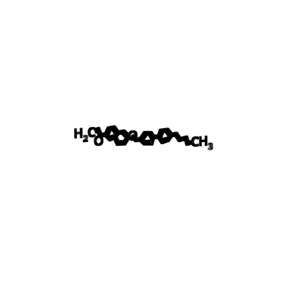 C=CC(=O)c1ccc2cc(OCc3ccc(-c4ccc(CCCCC)cc4)cc3)ccc2c1